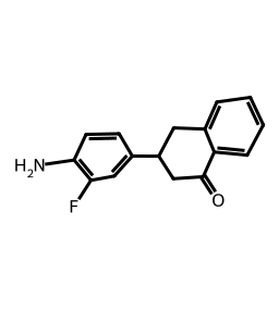 Nc1ccc(C2CC(=O)c3ccccc3C2)cc1F